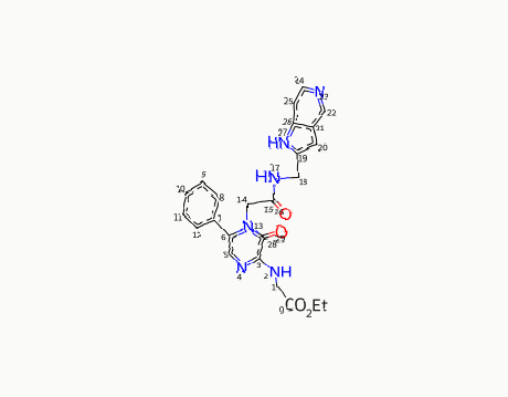 CCOC(=O)CNc1ncc(-c2ccccc2)n(CC(=O)NCc2cc3cnccc3[nH]2)c1=O